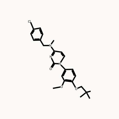 COc1cc(-n2ccc(N(C)Cc3ccc(Cl)cc3)nc2=O)ccc1OCC(C)(C)C